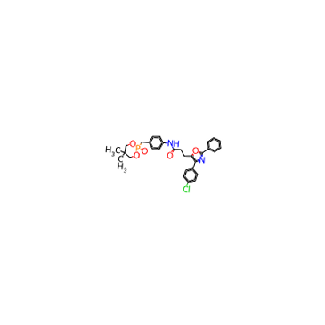 CC1(C)COP(=O)(Cc2ccc(NC(=O)CCc3oc(-c4ccccc4)nc3-c3ccc(Cl)cc3)cc2)OC1